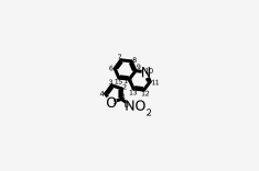 O=[N+]([O-])c1ccco1.c1ccc2ncccc2c1